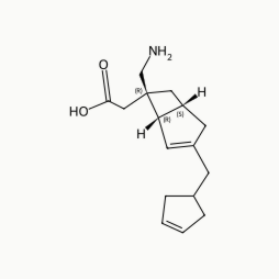 NC[C@@]1(CC(=O)O)C[C@@H]2CC(CC3CC=CC3)=C[C@@H]21